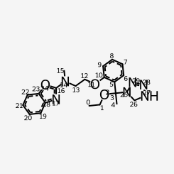 CCOC(C)(c1ccccc1OCCN(C)c1nc2ccccc2o1)N1CNN=N1